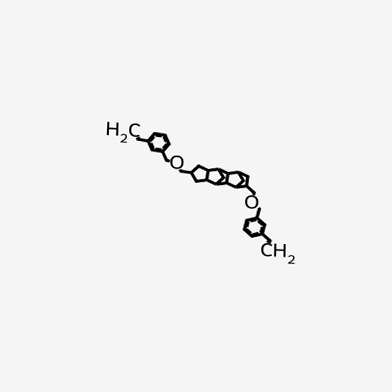 C=Cc1cccc(COCC2CC3C(C2)C2CC3C3C4CC(COCc5cccc(C=C)c5)C(C4)C23)c1